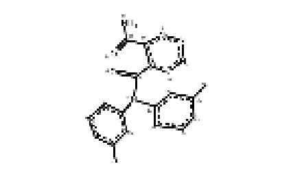 Cc1cccc(N(C(=O)c2nnnnc2C(N)=O)c2cccc(C)c2)c1